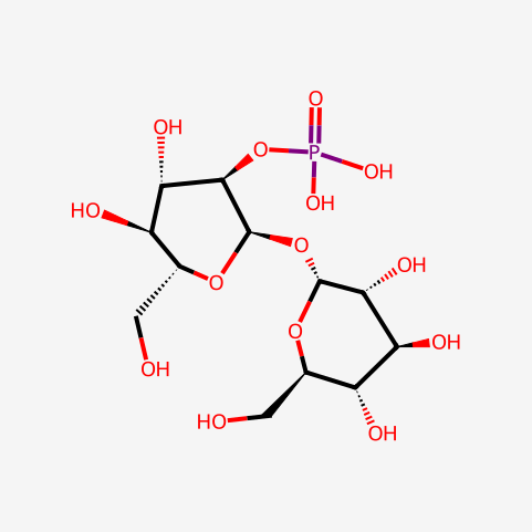 O=P(O)(O)O[C@H]1[C@@H](O[C@H]2O[C@H](CO)[C@@H](O)[C@H](O)[C@H]2O)O[C@H](CO)[C@@H](O)[C@@H]1O